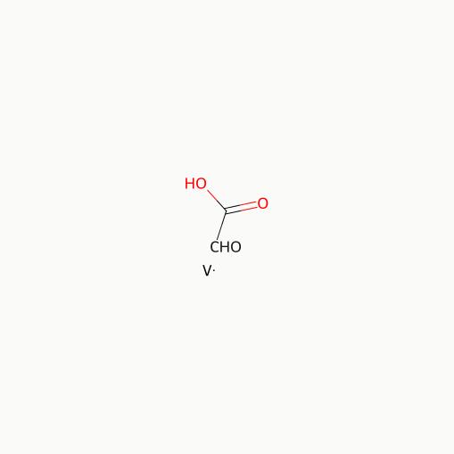 O=CC(=O)O.[V]